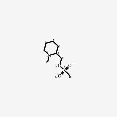 CN1CCCCC1COS(C)(=O)=O